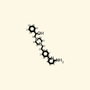 Nc1cccc(-c2ccc(CCN3CCN(CC(O)c4ccccc4)CC3)cc2)n1